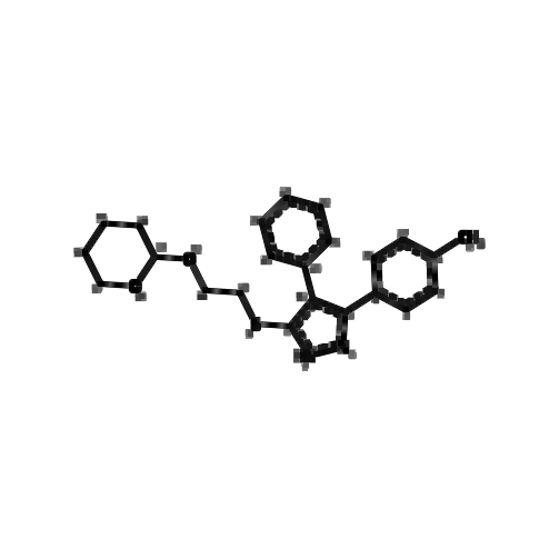 Cc1ccc(-c2n[nH]c(SCCOC3CCCCO3)c2-c2ccccc2)cc1